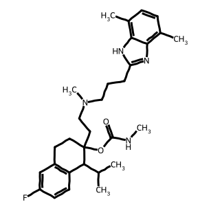 CNC(=O)OC1(CCN(C)CCCc2nc3c(C)ccc(C)c3[nH]2)CCc2cc(F)ccc2C1C(C)C